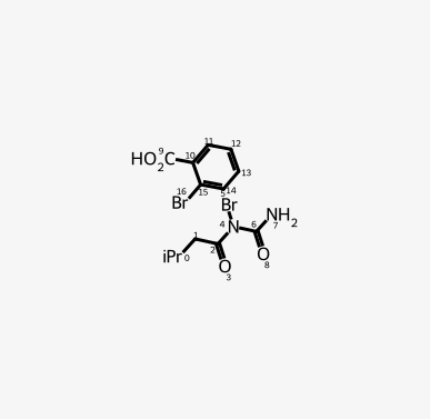 CC(C)CC(=O)N(Br)C(N)=O.O=C(O)c1ccccc1Br